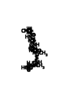 COc1cc2c(Nc3ccc(NC(=O)c4cccc(Cl)c4)nc3)ncnc2cc1OCCCNC(C)(C)CCOP(=O)(O)O